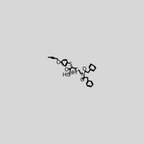 CC#CCOc1ccc(SC(CCCCN(C(=O)Cc2ccccc2)C(=O)Cc2ccccc2)C(=O)NO)cc1